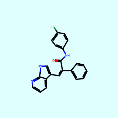 O=C(Nc1ccc(Cl)cc1)C(=Cc1c[nH]c2ncccc12)c1ccccc1